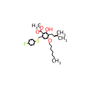 CCCCCCCOc1cc(CSc2ccc(F)cc2)c(C(=O)OC)c(O)c1CC=C(C)C